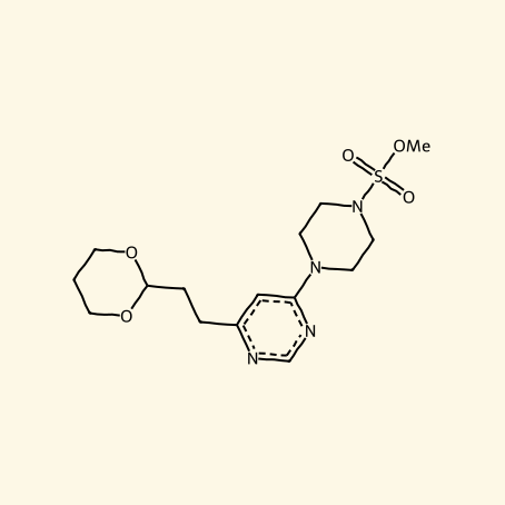 COS(=O)(=O)N1CCN(c2cc(CCC3OCCCO3)ncn2)CC1